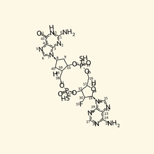 Nc1nc2c(ncn2[C@H]2CC3OP(=O)(S)OC[C@H]4O[C@@H](n5cnc6c(N)ncnc65)C(F)C4OP(=O)(S)OC[C@H]3C2)c(=O)[nH]1